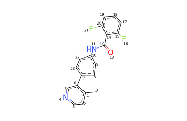 Cc1ccncc1-c1ccc(NC(=O)c2c(F)cccc2F)cc1